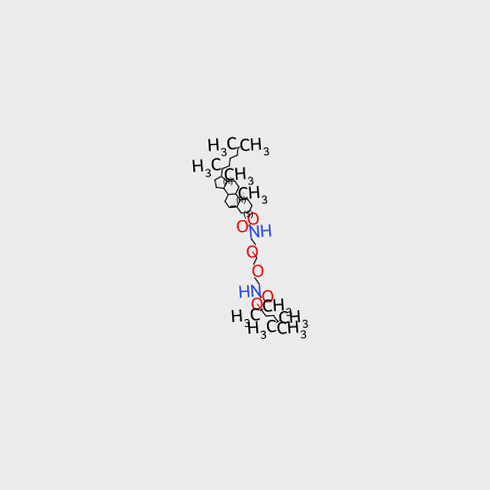 CC(C)CCCC(C)C1CCC2C3CC=C4C[C@@H](OC(=O)NCCOCCOCCNC(=O)OC(C)(C)CCC(C)(C)C)CC[C@]4(C)C3CC[C@]12C